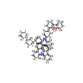 c1ccc(-c2cccc(-c3ccc(N(c4ccc(-c5cccc6c5oc5ccccc56)cc4)c4ccccc4-c4cccc(-c5ccccc5-n5c6ccccc6c6ccccc65)c4)cc3)c2)cc1